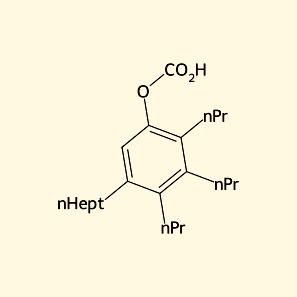 CCCCCCCc1cc(OC(=O)O)c(CCC)c(CCC)c1CCC